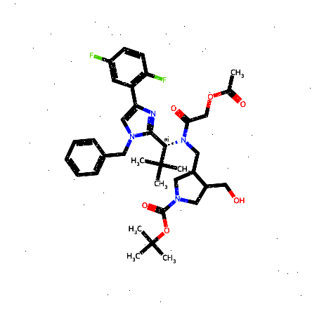 CC(=O)OCC(=O)N(CC1CN(C(=O)OC(C)(C)C)CC1CO)[C@@H](c1nc(-c2cc(F)ccc2F)cn1Cc1ccccc1)C(C)(C)C